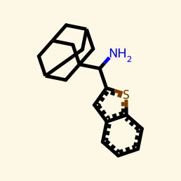 NC(c1cc2ccccc2s1)C12CC3CC(CC(C3)C1)C2